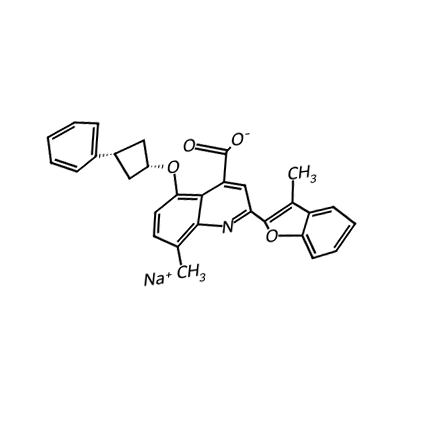 Cc1c(-c2cc(C(=O)[O-])c3c(O[C@H]4C[C@@H](c5ccccc5)C4)ccc(C)c3n2)oc2ccccc12.[Na+]